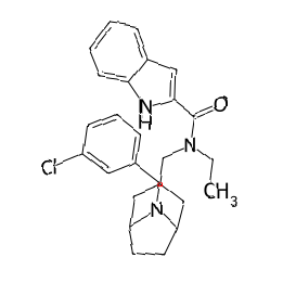 CCN(CC1CC2CCC(C1)N2Cc1cccc(Cl)c1)C(=O)c1cc2ccccc2[nH]1